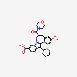 COc1ccc2c(c1)C=C(C(=O)N1CCOCC1)Cn1c-2c(C2CCCCC2)c2ccc(C(=O)O)cc21